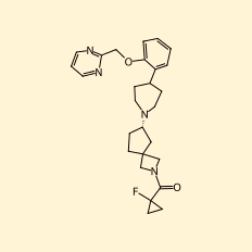 O=C(N1CC2(CC[C@H](N3CCC(c4ccccc4OCc4ncccn4)CC3)C2)C1)C1(F)CC1